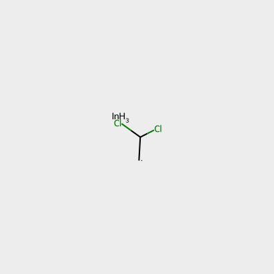 [CH2]C(Cl)Cl.[InH3]